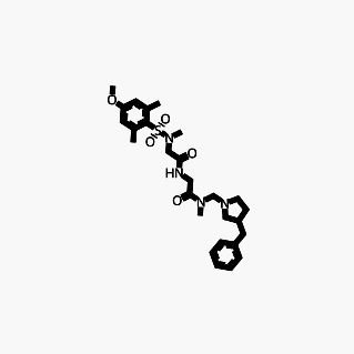 COc1cc(C)c(S(=O)(=O)N(C)CC(=O)NCC(=O)N(C)CN2CCC(Cc3ccccc3)C2)c(C)c1